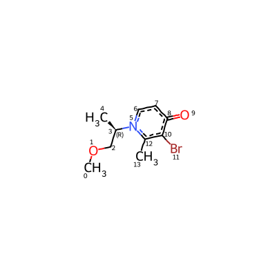 COC[C@@H](C)n1ccc(=O)c(Br)c1C